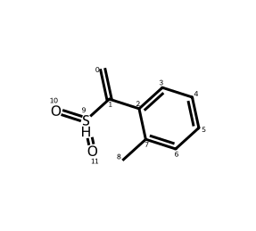 C=C(c1ccccc1C)[SH](=O)=O